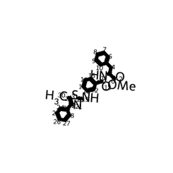 COC(=O)C(Cc1ccccc1)NC(=O)c1cccc(Nc2nc(-c3ccccc3)c(C)s2)c1